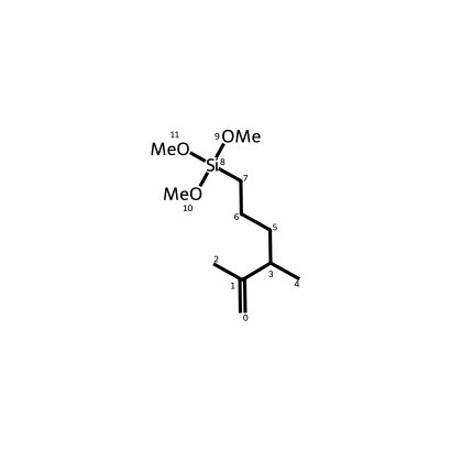 C=C(C)C(C)CCC[Si](OC)(OC)OC